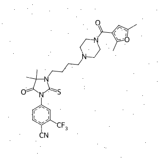 Cc1cc(C(=O)N2CCN(CCCCN3C(=S)N(c4ccc(C#N)c(C(F)(F)F)c4)C(=O)C3(C)C)CC2)c(C)o1